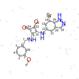 COc1cccc(CNc2c(Nc3cc(Br)c4[nH]ncc4c3)c(=O)c2=O)c1